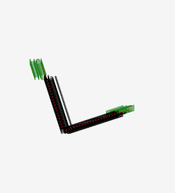 Cl.Cl.Cl.Cl.Cl.Cl.Cl.Cl.Cl.Cl.Cl.Cl.Cl.Cl.Cl.Cl.Cl.Cl.Cl.Cl.Cl.Cl.Cl.Cl.Cl.[Na+].[Na+].[Na+].[Na+].[Na+].[Na+].[Na+].[Na+].[Na+].[Na+].[Na+].[Na+].[Na+].[Na+].[Na+].[Na+].[Na+].[Na+].[Na+].[Na+].[Na+].[Na+].[Na+].[Na+].[Na+].[Na+].[Na+].[Na+].[Na+].[Na+].[Na+].[Na+].[Na+].[Na+].[Na+].[Na+].[Na+].[Na+].[Na+].[Na+].[Na+].[Na+].[Na+].[Na+].[Na+].[Na+].[Na+].[Na+].[Na+].[Na+].[Na+].[Na+].[Na+].[Na+].[Na+].[Na+].[Na+].[Na+].[Na+].[Na+].[Na+].[Na+].[Na+].[Na+].[Na+].[Na+].[Na+].[Na+].[Na+].[Na+].[Na+].[Na+].[Na+].[Na+].[Na+].[Na+].[Na+].[Na+].[Na+]